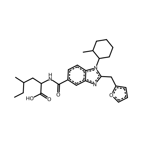 CCC(C)CC(NC(=O)c1ccc2c(c1)nc(Cc1ccco1)n2C1CCCCC1C)C(=O)O